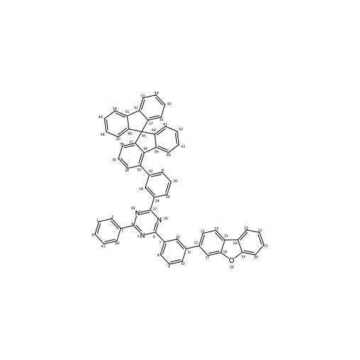 c1ccc(-c2nc(-c3cccc(-c4ccc5c(c4)oc4ccccc45)c3)nc(-c3cccc(-c4cccc5c4-c4ccccc4C54c5ccccc5-c5ccccc54)c3)n2)cc1